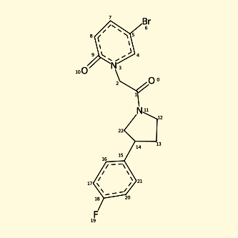 O=C(Cn1cc(Br)ccc1=O)N1CCC(c2ccc(F)cc2)C1